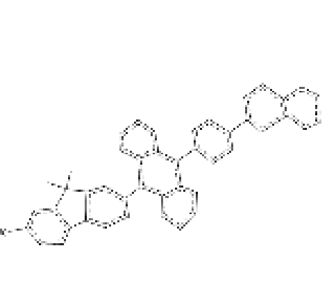 CC1(C)c2cc(C#N)ccc2-c2ccc(-c3c4ccccc4c(-c4ccc(-c5ccc6ccccc6c5)cc4)c4ccccc34)cc21